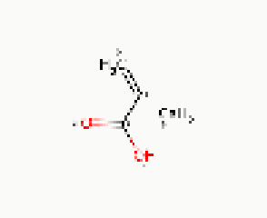 C=CC(=O)O.[CaH2]